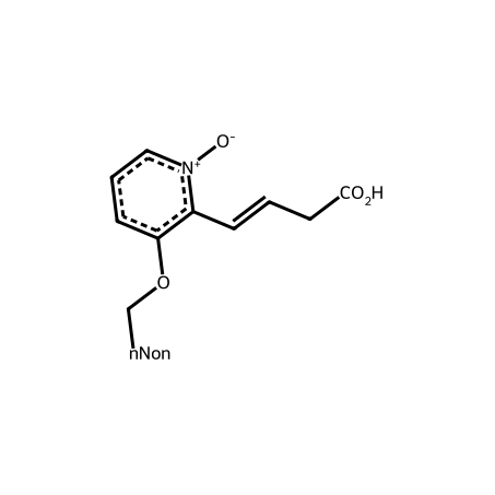 CCCCCCCCCCOc1ccc[n+]([O-])c1C=CCC(=O)O